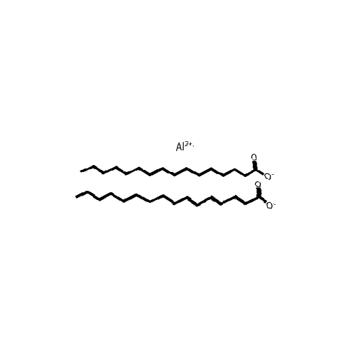 CCCCCCCCCCCCCCCC(=O)[O-].CCCCCCCCCCCCCCCC(=O)[O-].[Al+2]